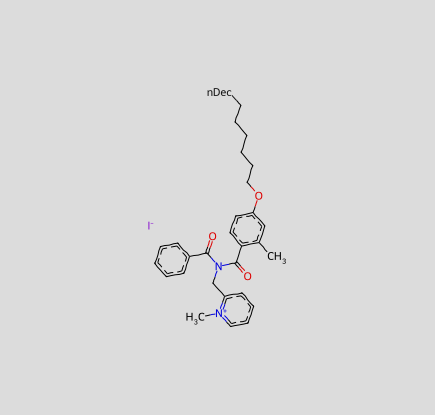 CCCCCCCCCCCCCCCCOc1ccc(C(=O)N(Cc2cccc[n+]2C)C(=O)c2ccccc2)c(C)c1.[I-]